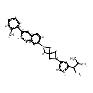 CC(C)C(C)c1cc(N2CC3(CN(c4ccc5cc(-c6ccccc6O)nnc5c4)C3)C2)sn1